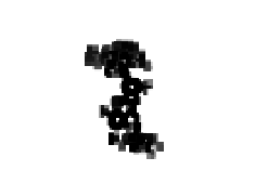 CC(C)[Si](C#Cc1cc(F)c2c(c1)C(=O)N(C(CC#C[Si](C)(C)C)c1cc(F)ccc1F)C2)(C(C)C)C(C)C